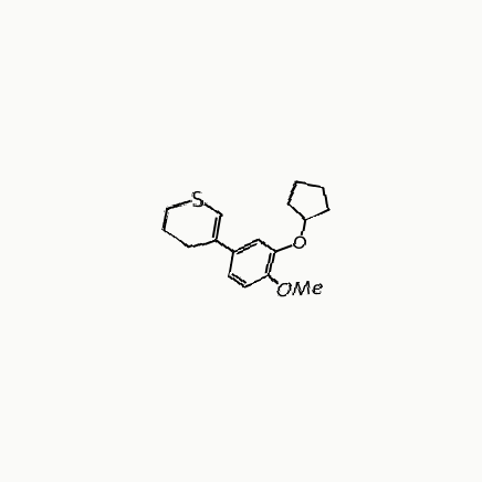 COc1ccc(C2=CSCCC2)cc1OC1CCCC1